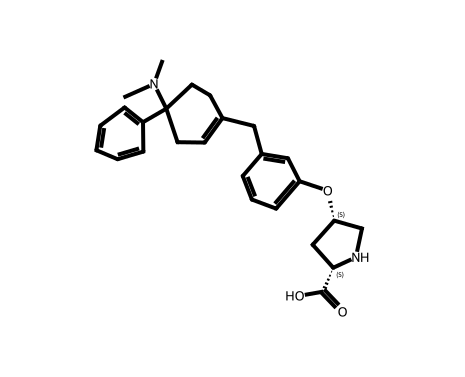 CN(C)C1(c2ccccc2)CC=C(Cc2cccc(O[C@@H]3CN[C@H](C(=O)O)C3)c2)CC1